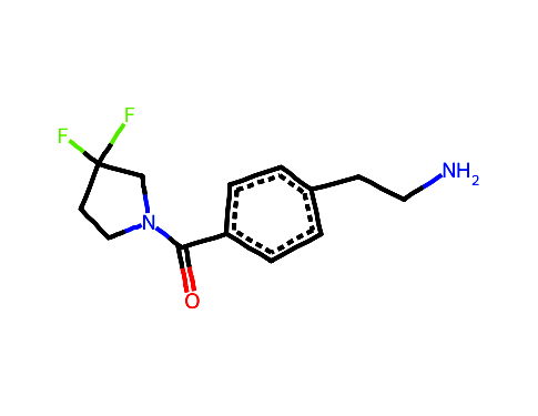 NCCc1ccc(C(=O)N2CCC(F)(F)C2)cc1